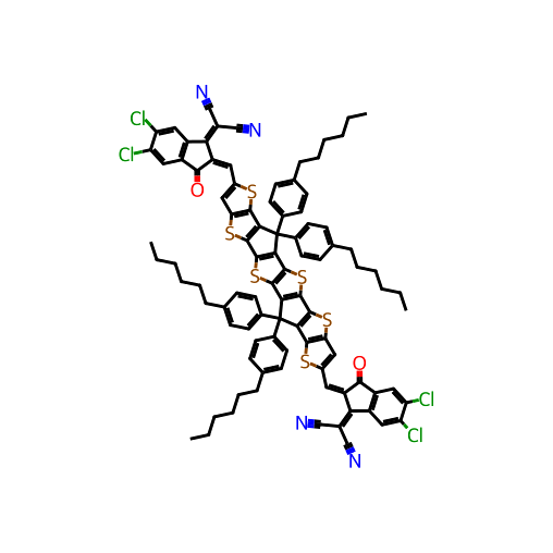 CCCCCCc1ccc(C2(c3ccc(CCCCCC)cc3)c3c(sc4cc(/C=C5\C(=O)c6cc(Cl)c(Cl)cc6C5=C(C#N)C#N)sc34)-c3sc4c5c(sc4c32)-c2sc3cc(/C=C4\C(=O)c6cc(Cl)c(Cl)cc6C4=C(C#N)C#N)sc3c2C5(c2ccc(CCCCCC)cc2)c2ccc(CCCCCC)cc2)cc1